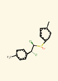 Cc1ccc([S+]([O-])[C@H](Cl)[C@H](Cl)c2ccc(C(F)(F)F)cc2)cc1